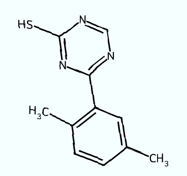 Cc1ccc(C)c(-c2ncnc(S)n2)c1